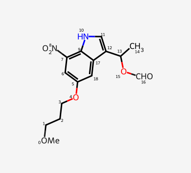 COCCCOc1cc([N+](=O)[O-])c2[nH]cc(C(C)OC=O)c2c1